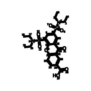 CCN(CC)S(=O)(=O)c1cc(S(=O)(=O)N(CC)CC)c2oc3ccc(C(=O)O)cc3c(=O)c2c1